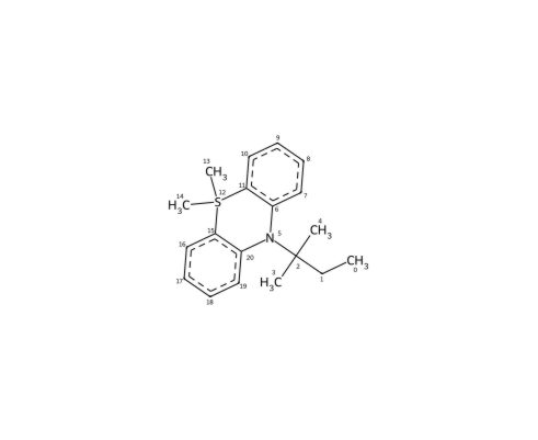 CCC(C)(C)N1c2ccccc2S(C)(C)c2ccccc21